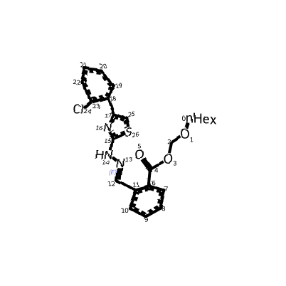 CCCCCCOCOC(=O)c1ccccc1/C=N/Nc1nc(-c2ccccc2Cl)cs1